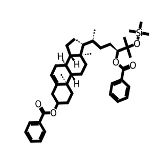 C[C@H](CC[C@H](OC(=O)c1ccccc1)C(C)(C)O[Si](C)(C)C)[C@H]1CC[C@H]2[C@@H]3CC=C4CC(OC(=O)c5ccccc5)CC[C@]4(C)[C@H]3CC[C@]12C